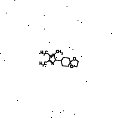 CC1=NC(C2CCC3(CC2)OCCO3)N(C)N1C